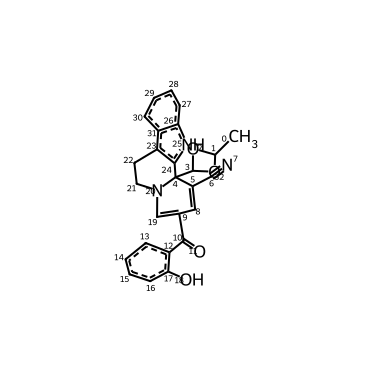 CC1OC(C23C(C#N)=CC(C(=O)c4ccccc4O)=CN2CCc2c3[nH]c3ccccc23)O1